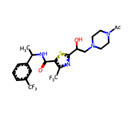 CC(=O)N1CCN(CC(O)c2nc(C(F)(F)F)c(C(=O)NC(C)c3cccc(C(F)(F)F)c3)s2)CC1